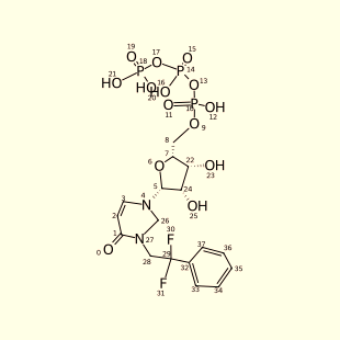 O=C1C=CN([C@@H]2O[C@H](COP(=O)(O)OP(=O)(O)OP(=O)(O)O)[C@H](O)[C@@H]2O)CN1CC(F)(F)c1ccccc1